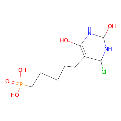 O=P(O)(O)CCCCCC1=C(O)NC(O)NC1Cl